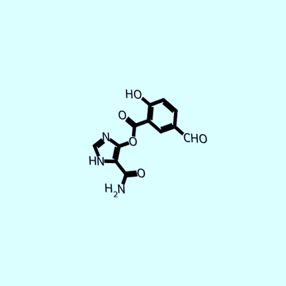 NC(=O)c1[nH]cnc1OC(=O)c1cc(C=O)ccc1O